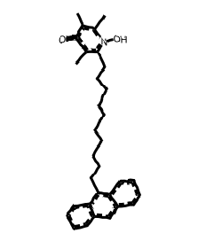 Cc1c(C)n(O)c(CCCCCCCCCCc2c3ccccc3cc3ccccc23)c(C)c1=O